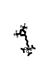 CC(C)O[Si](CCCCCc1cc(C(F)(F)F)cc(C(F)(F)F)c1)(OC(C)C)OC(C)C